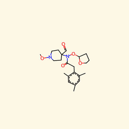 CON1CCC(C=O)(N(OC2CCCO2)C(=O)Cc2c(C)cc(C)cc2C)CC1